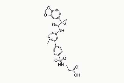 Cc1ccc(NC(=O)C2(c3ccc4c(c3)OCO4)CC2)cc1-c1ccc(S(=O)(=O)NCCC(=O)O)cc1